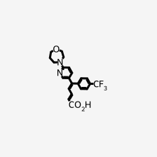 O=C(O)C=CC=C(c1ccc(C(F)(F)F)cc1)c1ccc(N2CCCOCC2)nc1